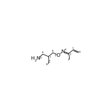 C=C/C(C)=N/OCC(F)CN